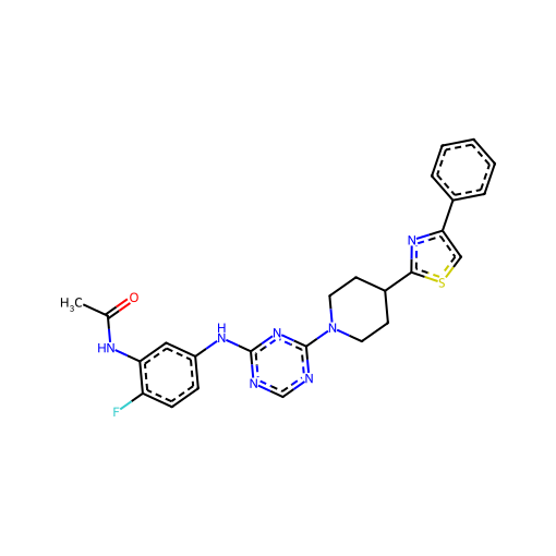 CC(=O)Nc1cc(Nc2ncnc(N3CCC(c4nc(-c5ccccc5)cs4)CC3)n2)ccc1F